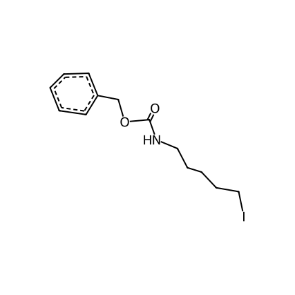 O=C(NCCCCCI)OCc1ccccc1